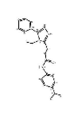 CCn1c(SCC(=O)Nc2ccc(C(C)C)cc2)nnc1-c1ccccc1